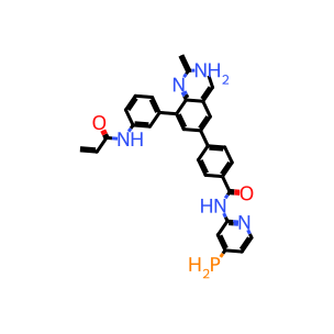 C=CC(=O)Nc1cccc(C2=CC(c3ccc(C(=O)Nc4cc(P)ccn4)cc3)=CC(=C/C)/C2=N\C(=C)N)c1